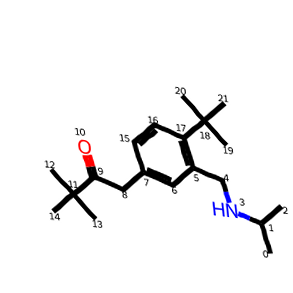 CC(C)NCc1cc(CC(=O)C(C)(C)C)ccc1C(C)(C)C